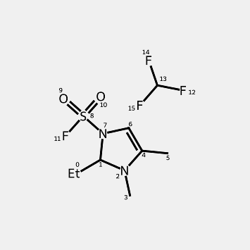 CCC1N(C)C(C)=CN1S(=O)(=O)F.FC(F)F